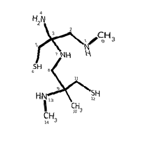 CNCC(N)(CS)NCC(C)(CS)NC